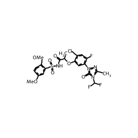 COc1ccc(OC)c(S(=O)(=O)NC(=O)C(C)Oc2cc(-n3nc(C)n(C(F)F)c3=O)c(F)cc2Cl)c1